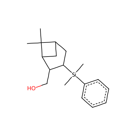 CC1(C)C2CC1C(CO)C([Si](C)(C)c1ccccc1)C2